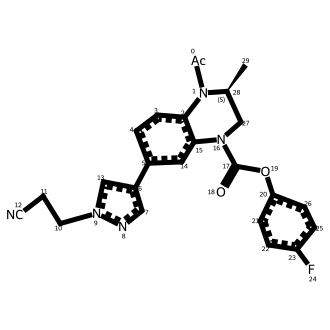 CC(=O)N1c2ccc(-c3cnn(CCC#N)c3)cc2N(C(=O)Oc2ccc(F)cc2)C[C@@H]1C